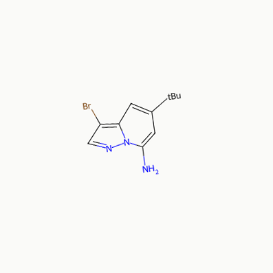 CC(C)(C)c1cc(N)n2ncc(Br)c2c1